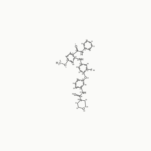 COc1ccc(C(=O)Nc2ccccc2)c(Nc2ccc(Oc3ccnc(NC(=O)N4CCOCC4)c3)c(F)c2)n1